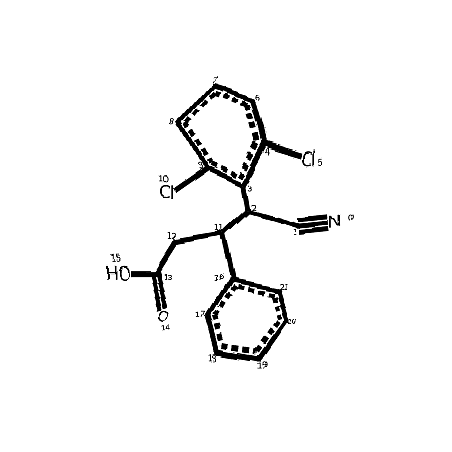 N#CC(c1c(Cl)cccc1Cl)C(CC(=O)O)c1ccccc1